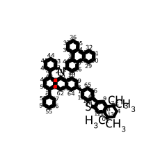 CC1(C)CCC(C)(C)c2cc3c(cc21)sc1cc(-c2ccc4c(N(c5ccc6c7ccccc7c7ccccc7c6c5)c5ccccc5-c5ccc(-c6ccccc6)cc5)cccc4c2)ccc13